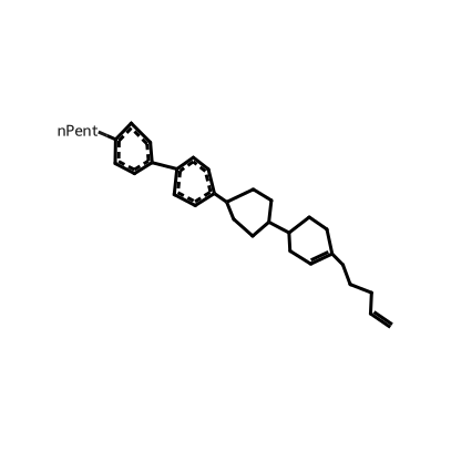 C=CCCCC1=CCC(C2CCC(c3ccc(-c4ccc(CCCCC)cc4)cc3)CC2)CC1